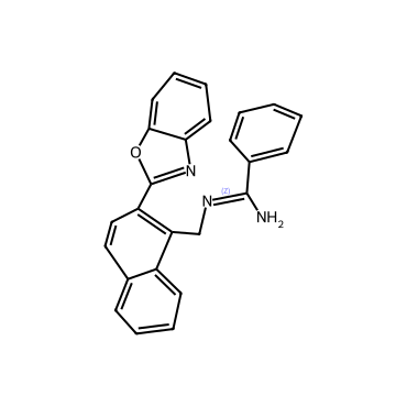 N/C(=N\Cc1c(-c2nc3ccccc3o2)ccc2ccccc12)c1ccccc1